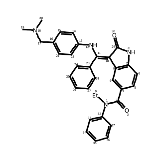 CCN(C(=O)c1ccc2c(c1)/C(=C(/Nc1ccc(CN(C)C)cc1)c1ccccc1)C(=O)N2)c1ccccc1